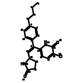 CCCCc1ccc(C(=C[C@H]2CCC(=O)N2)c2ccc(Cl)c(=O)[nH]2)cc1